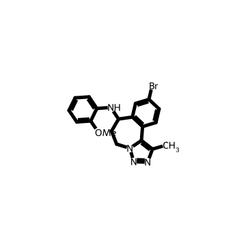 COc1ccccc1NC1CCn2nnc(C)c2-c2ccc(Br)cc21